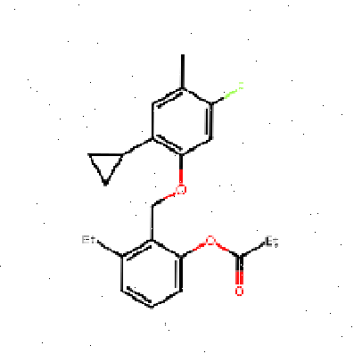 CCC(=O)Oc1cccc(CC)c1COc1cc(F)c(C)cc1C1CC1